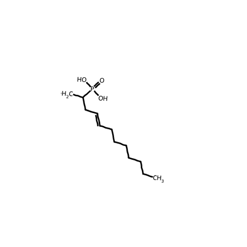 [CH2]C(CC=CCCCCCCC)P(=O)(O)O